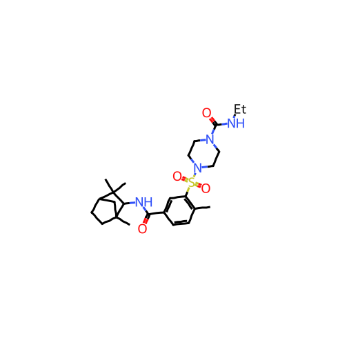 CCNC(=O)N1CCN(S(=O)(=O)c2cc(C(=O)NC3C4(C)CCC(C4)C3(C)C)ccc2C)CC1